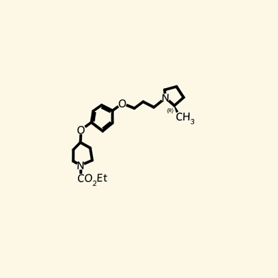 CCOC(=O)N1CCC(Oc2ccc(OCCCN3CCC[C@H]3C)cc2)CC1